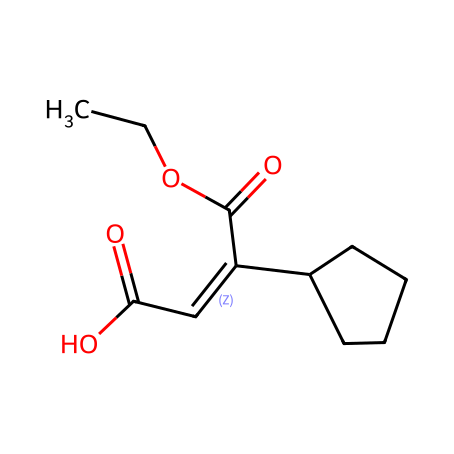 CCOC(=O)/C(=C\C(=O)O)C1CCCC1